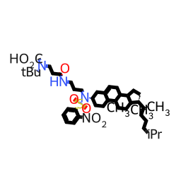 CC(C)CCC[C@@H](C)[C@H]1CCC2C3CC=C4C[C@@H](N(CCCNC(=O)CCN(C(=O)O)C(C)(C)C)S(=O)(=O)c5ccccc5[N+](=O)[O-])CC[C@]4(C)C3CC[C@@]21C